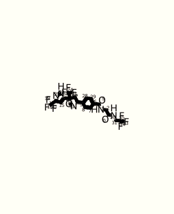 O=C(CNC(=O)c1ccc(C2=NOC(c3cc(C(F)(F)F)n[nH]3)(C(F)(F)F)C2)cc1)NCC(F)(F)F